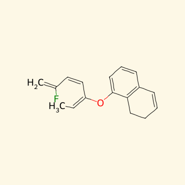 C=C(F)/C=C\C(=C/C)Oc1cccc2c1CCC=C2